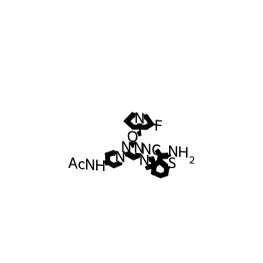 CC(=O)NC1CCN(c2cc(N3CC4(CCCc5sc(N)c(C#N)c54)C3)nc(OC[C@@]34CCCN3C[C@H](F)C4)n2)CC1